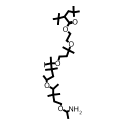 CC(N)OCCC(C)(C)C(C)OC(C)CC(C)(C)C(C)(I)OCCC(C)(C)OCCOC(=O)C(CC(C)(C)C)C(C)(C)C